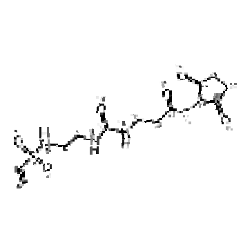 C=CS(=O)(=O)NCCNC(=O)NCCC(=O)OC1C(=O)CCC1=O